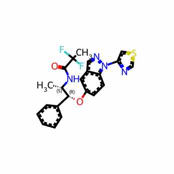 C[C@H](NC(=O)C(C)(F)F)[C@H](Oc1ccc2c(cnn2-c2cscn2)c1)c1ccccc1